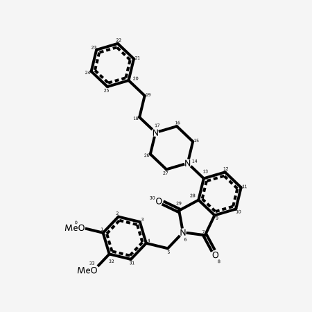 COc1ccc(CN2C(=O)c3cccc(N4CCN(CCc5ccccc5)CC4)c3C2=O)cc1OC